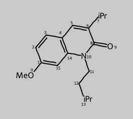 COc1ccc2cc(C(C)C)c(=O)n(CCC(C)C)c2c1